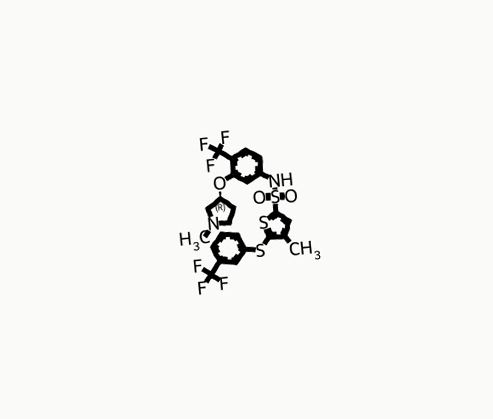 Cc1cc(S(=O)(=O)Nc2ccc(C(F)(F)F)c(O[C@@H]3CCN(C)C3)c2)sc1Sc1cccc(C(F)(F)F)c1